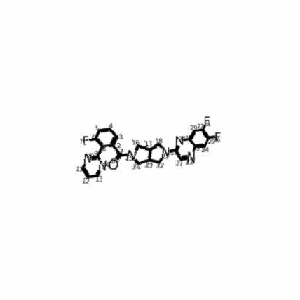 O=C(c1cccc(F)c1-c1ncccn1)N1CC2CN(c3cnc4cc(F)c(F)cc4n3)CC2C1